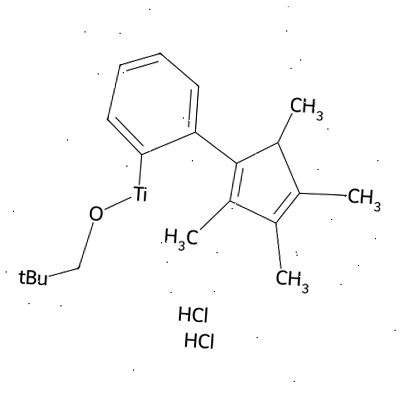 CC1=C(C)C(C)C(c2cccc[c]2[Ti][O]CC(C)(C)C)=C1C.Cl.Cl